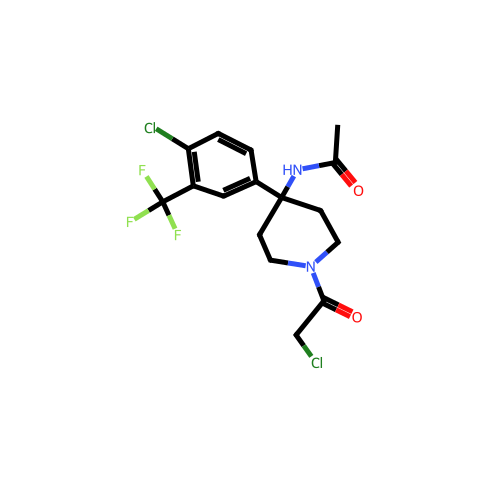 CC(=O)NC1(c2ccc(Cl)c(C(F)(F)F)c2)CCN(C(=O)CCl)CC1